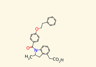 CC1Cc2c(CC(=O)O)cccc2N1C(=O)c1ccc(OCCc2ccccc2)cc1